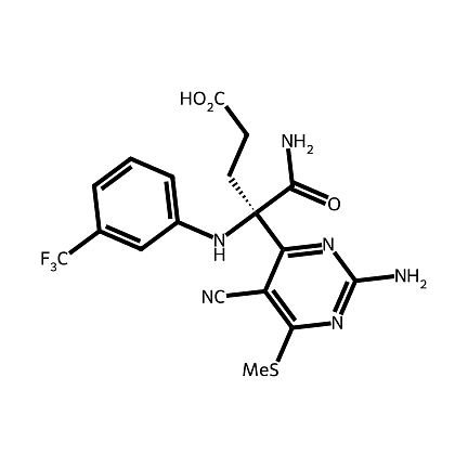 CSc1nc(N)nc([C@@](CCC(=O)O)(Nc2cccc(C(F)(F)F)c2)C(N)=O)c1C#N